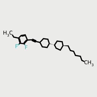 CCCCCCC[C@H]1CC[C@H](C2CCC(C#Cc3ccc(CC)c(F)c3F)CC2)CC1